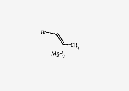 C/C=C/Br.[MgH2]